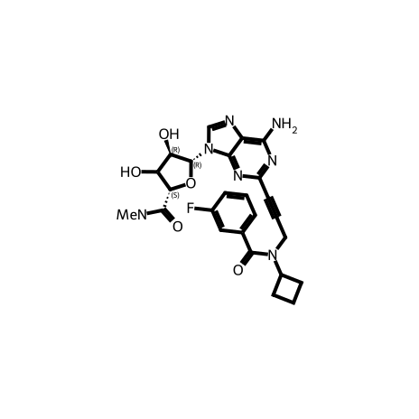 CNC(=O)[C@H]1O[C@@H](n2cnc3c(N)nc(C#CCN(C(=O)c4cccc(F)c4)C4CCC4)nc32)[C@H](O)C1O